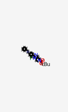 CC(C)(C)OC(=O)N1CCc2nc(-c3ccc(/C=C/c4ccccc4)cc3F)ncc2C1